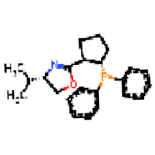 CC(C)[C@H]1COC(C2CCC[C@@H]2P(c2ccccc2)c2ccccc2)=N1